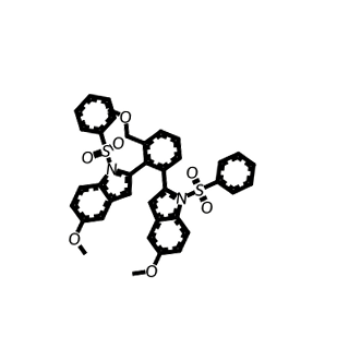 COCc1cccc(-c2cc3cc(OC)ccc3n2S(=O)(=O)c2ccccc2)c1-c1cc2cc(OC)ccc2n1S(=O)(=O)c1ccccc1